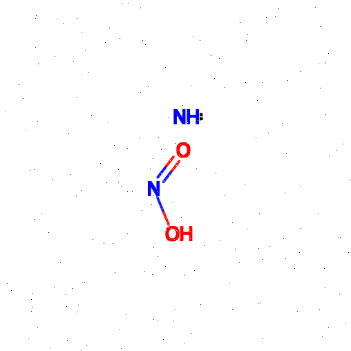 O=NO.[NH]